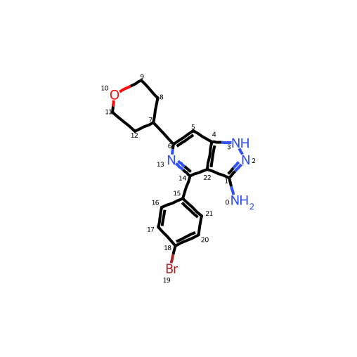 Nc1n[nH]c2cc(C3CCOCC3)nc(-c3ccc(Br)cc3)c12